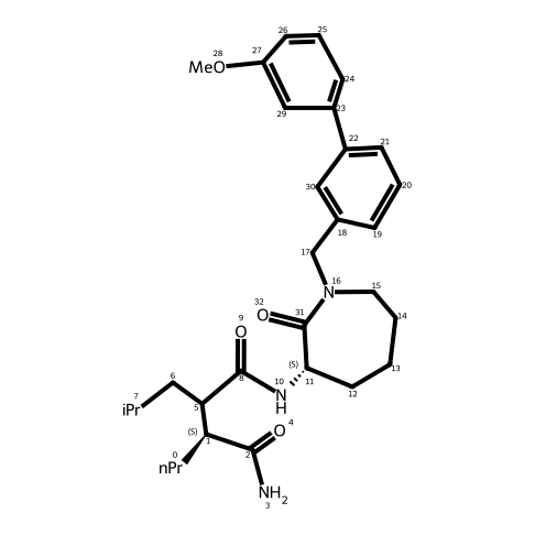 CCC[C@H](C(N)=O)C(CC(C)C)C(=O)N[C@H]1CCCCN(Cc2cccc(-c3cccc(OC)c3)c2)C1=O